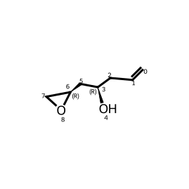 C=CC[C@@H](O)C[C@@H]1CO1